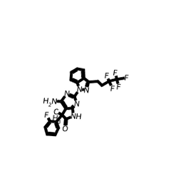 CC1(c2ccccc2F)C(=O)Nc2nc(-n3nc(CCC(F)(F)C(F)(F)F)c4ccccc43)nc(N)c21